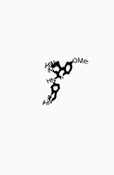 COc1ccc2nc(Nc3ccc4c[nH]nc4c3)c3n[nH]cc3c2c1